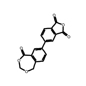 O=C1OCOCc2ccc(-c3ccc4c(c3)C(=O)OC4=O)cc21